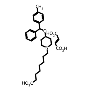 Cc1ccc(C(OC2CCN(CCCCCCCC(=O)O)CC2)c2ccccc2)cc1.O=C(O)C=CC(=O)O